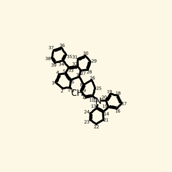 CC1CC=CC2=C1C(C1=CC=C(n3c4c(c5ccccc53)CCC=C4)CC1)C1C=CC=CC1=C2c1ccccc1